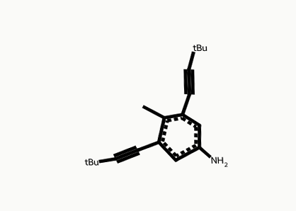 Cc1c(C#CC(C)(C)C)cc(N)cc1C#CC(C)(C)C